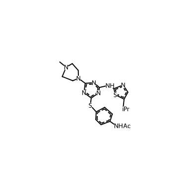 CC(=O)Nc1ccc(Sc2nc(Nc3ncc(C(C)C)s3)nc(N3CCN(C)CC3)n2)cc1